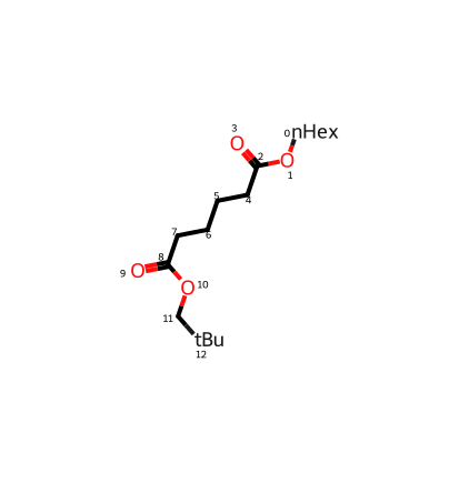 CCCCCCOC(=O)CCCCC(=O)OCC(C)(C)C